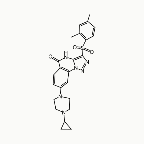 Cc1ccc(S(=O)(=O)c2nnn3c2[nH]c(=O)c2ccc(N4CCN(C5CC5)CC4)cc23)c(C)c1